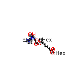 CCCCCCOC(=O)CCCCCCCCC(CCCCCC)OC(=O)OCCN(CCO)CCN(CC)CC